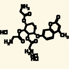 Cc1cc(=O)oc2cc(O[C@H]3SC[C@@H](OC(=O)CN)[C@H](OC(=O)CN)[C@H]3OC(=O)CN)ccc12.Cl.Cl.Cl